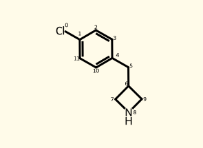 Clc1ccc(CC2CNC2)cc1